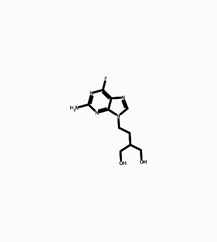 Nc1nc(F)c2ncn(CCC(CO)CO)c2n1